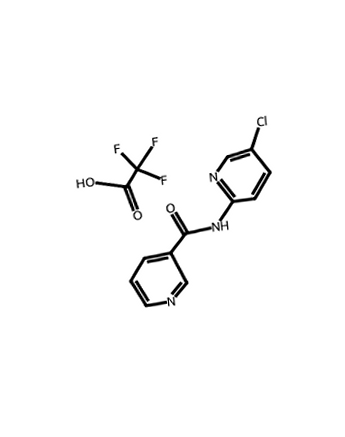 O=C(Nc1ccc(Cl)cn1)c1cccnc1.O=C(O)C(F)(F)F